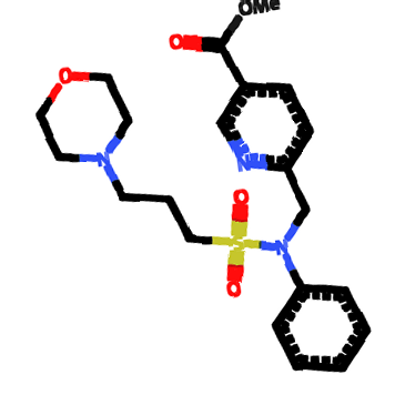 COC(=O)c1ccc(CN(c2ccccc2)S(=O)(=O)CCCN2CCOCC2)nc1